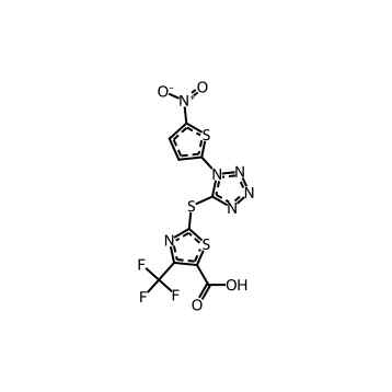 O=C(O)c1sc(Sc2nnnn2-c2ccc([N+](=O)[O-])s2)nc1C(F)(F)F